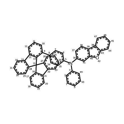 c1ccc(N(c2ccc(-c3cccc4c3C3(c5ccccc5-c5ccccc53)c3ccccc3-4)cc2)c2ccc3c(c2)oc2ccccc23)cc1